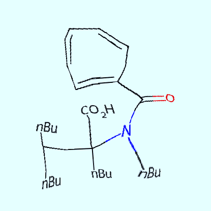 CCCCC(CCCC)C(CCCC)(C(=O)O)N(CCCC)C(=O)c1ccccc1